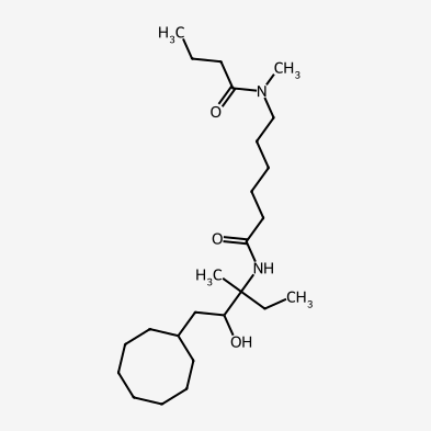 CCCC(=O)N(C)CCCCCC(=O)NC(C)(CC)C(O)CC1CCCCCCC1